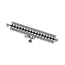 BrC(Br)(Br)C(Br)(Br)C(Br)(Br)C(Br)(Br)C(Br)(Br)C(Br)(Br)C(Br)(Br)C(Br)(Br)C(Br)(Br)C(Br)(Br)C(Br)(Br)C(Br)(Br)C(Br)(Br)C(Br)(Br)C(Br)(Br)C(Br)(Br)Br.O=[SH](=O)O